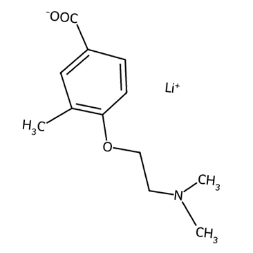 Cc1cc(C(=O)[O-])ccc1OCCN(C)C.[Li+]